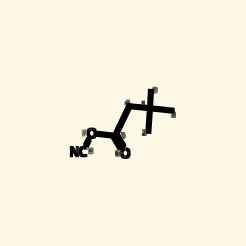 CC(C)(C)CC(=O)OC#N